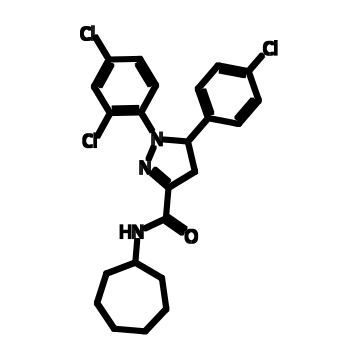 O=C(NC1CCCCCC1)C1=NN(c2ccc(Cl)cc2Cl)C(c2ccc(Cl)cc2)C1